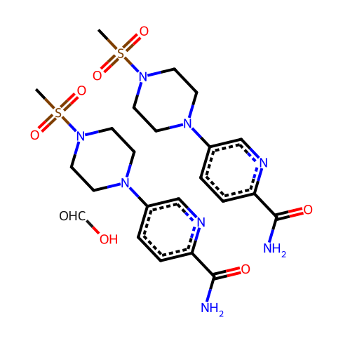 CS(=O)(=O)N1CCN(c2ccc(C(N)=O)nc2)CC1.CS(=O)(=O)N1CCN(c2ccc(C(N)=O)nc2)CC1.O=CO